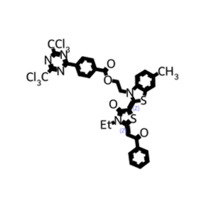 CCn1c(=O)/c(=C2/Sc3cc(C)ccc3N2CCOC(=O)c2ccc(-c3nc(C(Cl)(Cl)Cl)nc(C(Cl)(Cl)Cl)n3)cc2)s/c1=C\C(=O)c1ccccc1